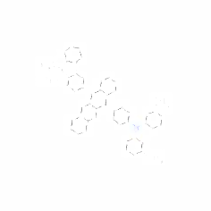 Cc1cccc(N(c2ccc(-c3c4ccccc4c(-c4ccc5c(c4)-c4ccccc4C5(C)C)c4cc5ccccc5cc34)cc2)c2cccc(C)c2)c1